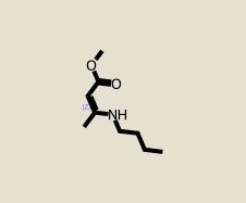 CCCCN/C(C)=C\C(=O)OC